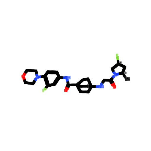 N#C[C@@H]1C[C@H](F)CN1C(=O)CNC12CCC(C(=O)Nc3ccc(N4CCOCC4)c(F)c3)(CC1)CC2